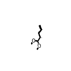 C=CC[CH]C(OC)OC